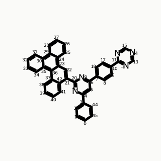 c1ccc(-c2cc(-c3ccc(-c4ncncn4)cc3)nc(-c3cc4c5ccccc5c5ccccc5c4c4ccccc34)n2)cc1